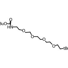 CC(C)COC(=O)NCCOCCOCCOCCOCCC(C)(C)C